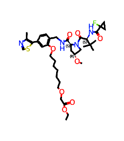 CCOC(=O)COCCCCCCCOc1cc(-c2scnc2C)ccc1CNC(=O)[C@@H]1C[C@@H](OC)CN1C(=O)[C@@H](NC(=O)C1(F)CC1)C(C)(C)C